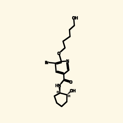 O=C(N[C@@H]1CCCC[C@H]1O)c1cnc(OCCCCCO)c(Br)c1